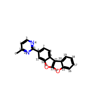 Cc1ccnc(-c2ccc3c(c2)oc2oc4ccccc4c23)n1